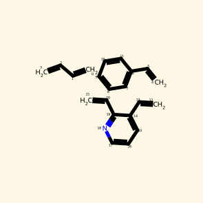 C=CC=C.C=Cc1ccccc1.C=Cc1cccnc1C=C